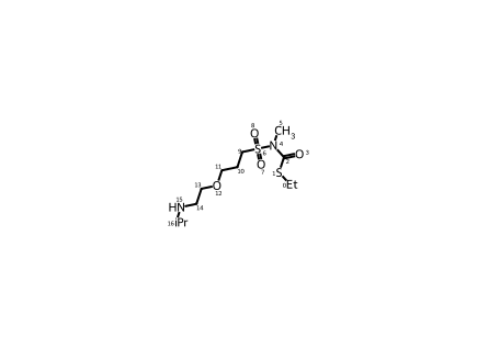 CCSC(=O)N(C)S(=O)(=O)CCCOCCNC(C)C